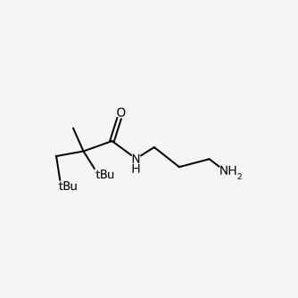 CC(C)(C)CC(C)(C(=O)NCCCN)C(C)(C)C